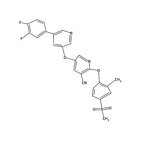 Cc1cc(S(C)(=O)=O)ccc1Oc1ncc(Oc2cncc(-c3ccc(F)c(F)c3)c2)cc1C#N